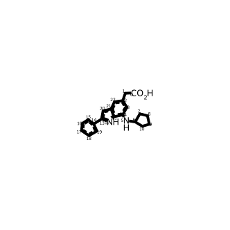 O=C(O)Cc1cc(NC2CCCC2)c2[nH]c(-c3ccccc3)cc2c1